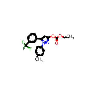 CCOC(=O)Oc1cc(-c2cccc(C(F)(F)F)c2)n(-c2ccc(C)cc2)n1